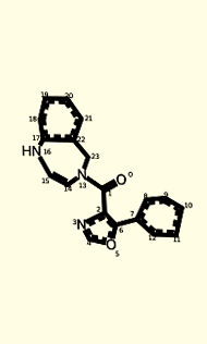 O=C(c1ncoc1-c1ccccc1)N1C=CNc2ccccc2C1